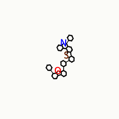 c1ccc(-c2nc3ccccc3c3c2ccc2c4cccc(-c5cccc(-c6cccc7c6oc6c(-c8ccccc8)cccc67)c5)c4sc23)cc1